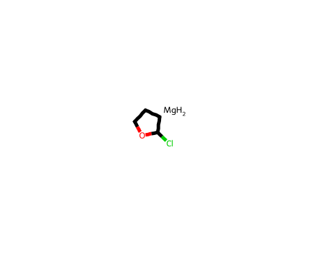 ClC1CCCO1.[MgH2]